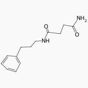 NC(=O)CCC(=O)NCCCc1ccccc1